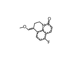 CO/C=C1\CCn2c(=O)ccc3c(F)ccc1c32